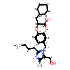 CCCCc1nc(Cl)c(CO)n1Cc1ccc(OC(CC2CCCCC2)C(=O)O)cc1